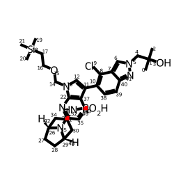 CC(C)(O)Cn1cc2c(Cl)c(-c3cn(COCC[Si](C)(C)C)c4nc(N5[C@@H]6CC[C@H]5C[C@@H](NC(=O)O)C6)cnc34)ccc2n1